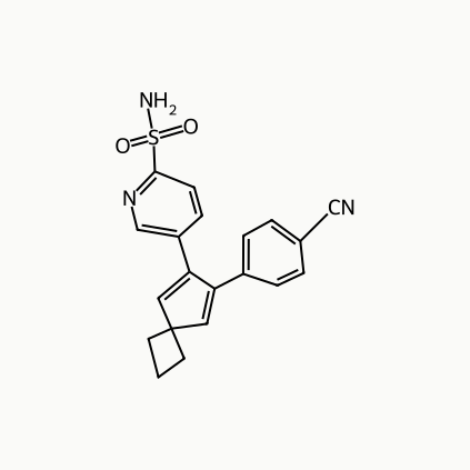 N#Cc1ccc(C2=CC3(C=C2c2ccc(S(N)(=O)=O)nc2)CCC3)cc1